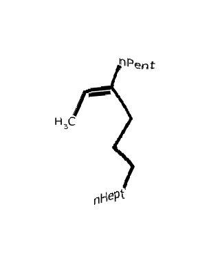 CC=C(CCCCC)CCCCCCCCCC